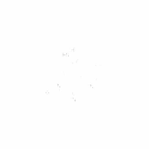 CNC(=O)c1sc(N2CCOCC2)c(C#N)c1-c1cnc2ccccc2c1